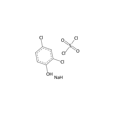 O=S(=O)(Cl)Cl.Oc1ccc(Cl)cc1Cl.[NaH]